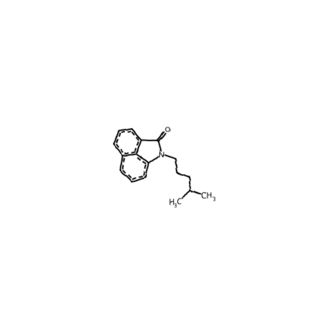 CC(C)CCCN1C(=O)c2cccc3cccc1c23